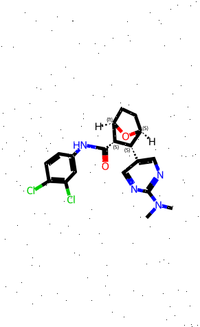 CN(C)c1ncc([C@@H]2[C@H](C(=O)Nc3ccc(Cl)c(Cl)c3)[C@H]3CC[C@@H]2O3)cn1